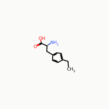 CCc1ccc(C[C@H](N)C(=O)O)cc1